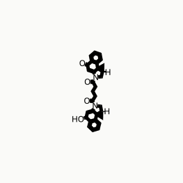 O=C1C=C2N(C(=O)CCCC(=O)N3C[C@H]4CC45C3=CC(O)c3ccccc35)C[C@H]3CC23c2ccccc21